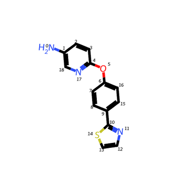 Nc1ccc(Oc2ccc(-c3nccs3)cc2)nc1